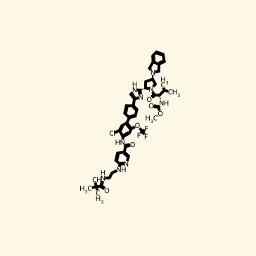 COC(=O)N[C@H](C(=O)N1C[C@H](N2Cc3ccccc3C2)C[C@H]1c1nc(-c2ccc(-c3cc(Cl)c(NC(=O)c4ccc(NCCNC(=O)C(C)(C)C)nc4)cc3OC(F)(F)F)cc2)c[nH]1)C(C)C